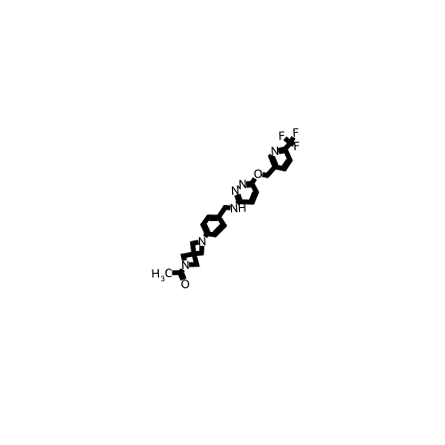 CC(=O)N1CC2(C1)CN(c1ccc(CNc3ccc(OCc4ccc(C(F)(F)F)nc4)nn3)cc1)C2